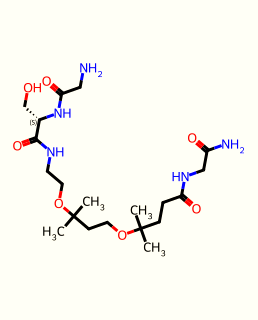 CC(C)(CCOC(C)(C)CCC(=O)NCC(N)=O)OCCNC(=O)[C@H](CO)NC(=O)CN